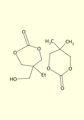 CC1(C)COC(=O)OC1.CCC1(CO)COC(=O)OC1